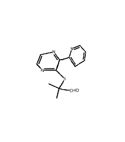 CC(C)(C=O)Sc1nccnc1-c1ccccn1